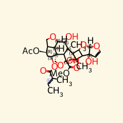 C/C=C(\C)C(=O)O[C@H]1C[C@@H](OC(C)=O)C2CO[C@@H]3[C@@H]2[C@]12CO[C@](O)(C(=O)OC)C2[C@](C)([C@]12C[C@@]1(C)C1C2O[C@@H]2OC=C[C@]12O)[C@@H]3O